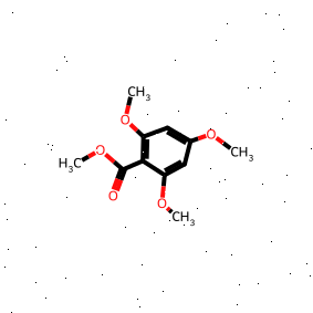 COC(=O)c1c(OC)cc(OC)cc1OC